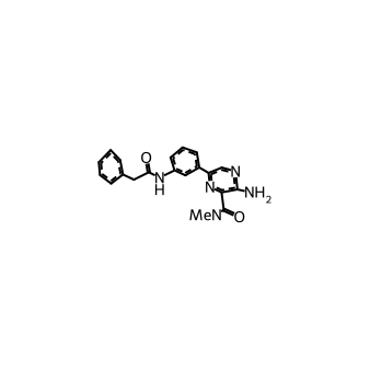 CNC(=O)c1nc(-c2cccc(NC(=O)Cc3ccccc3)c2)cnc1N